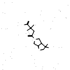 CC(C)(CC(=O)N1C[C@@H]2NCC(F)(F)[C@@H]2C1)C(=O)O